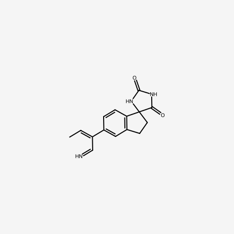 C/C=C(\C=N)c1ccc2c(c1)CCC21NC(=O)NC1=O